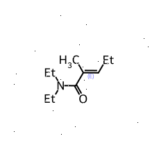 CC/C=C(\C)C(=O)N(CC)CC